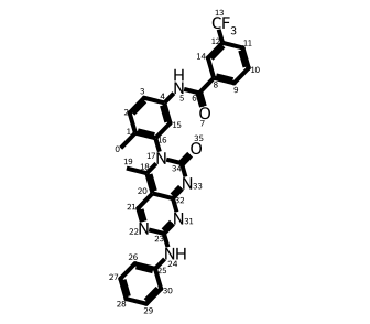 Cc1ccc(NC(=O)c2cccc(C(F)(F)F)c2)cc1-n1c(C)c2cnc(Nc3ccccc3)nc2nc1=O